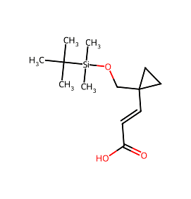 CC(C)(C)[Si](C)(C)OCC1(/C=C/C(=O)O)CC1